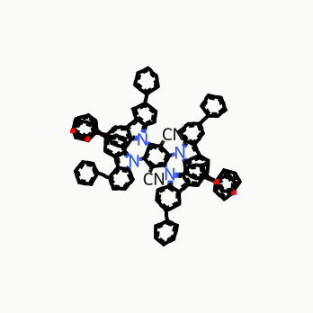 N#Cc1c(-n2c3ccc(-c4ccccc4)cc3c3cc(-c4ccccc4)ccc32)c(-n2c3ccc(-c4ccccc4)cc3c3cc(-c4ccccc4)ccc32)c(C#N)c(-n2c3ccc(-c4ccccc4)cc3c3c(-c4ccccc4)cccc32)c1-n1c2ccc(-c3ccccc3)cc2c2cc(-c3ccccc3)ccc21